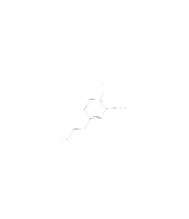 COc1cc(CCC(C)(C)C)ccc1OC(C)(C)C